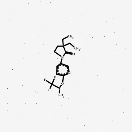 CCC1(CC)CCN(c2ccc(O[C@@H](C)C(F)(F)F)nc2)C1=O